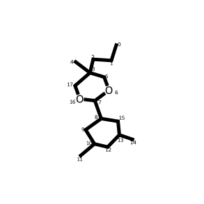 CCCC1(C)COC(C2CC(C)CC(C)C2)OC1